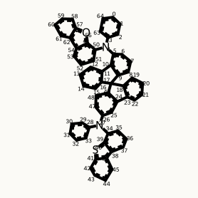 c1ccc(N(c2cccc3c2-c2ccccc2C32c3ccccc3-c3cc(N(c4ccccc4)c4cccc5c4sc4ccccc45)ccc32)c2cccc3c2oc2ccccc23)cc1